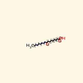 CC/C=C/C/C=C/C=C/C(=O)CCCCCCCC(=O)O